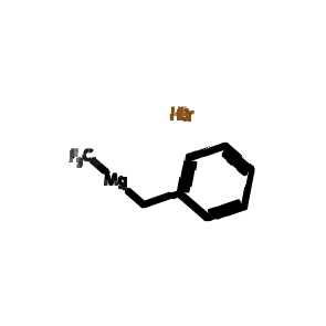 Br.F[C](F)(F)[Mg][CH2]c1ccccc1